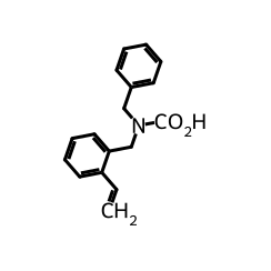 C=Cc1ccccc1CN(Cc1ccccc1)C(=O)O